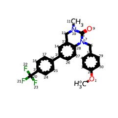 COc1ccc(CN2C(=O)N(C)Cc3cc(-c4ccc(C(F)(F)F)cc4)ccc32)cc1